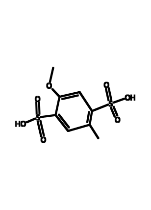 COc1cc(S(=O)(=O)O)c(C)cc1S(=O)(=O)O